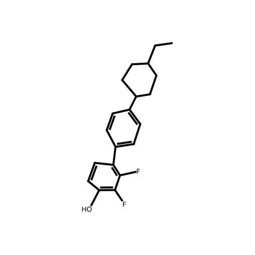 CCC1CCC(c2ccc(-c3ccc(O)c(F)c3F)cc2)CC1